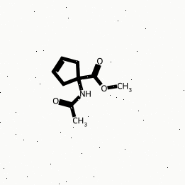 COC(=O)C1(NC(C)=O)CC=CC1